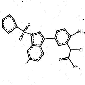 NC(=O)C(Cl)c1cc(-c2cn(S(=O)(=O)c3ccccc3)c3cc(F)ccc23)ccc1N